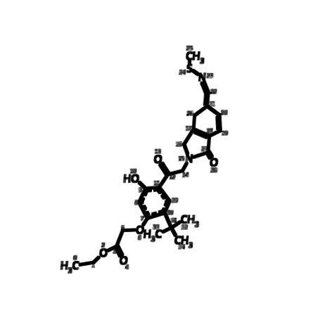 CCOC(=O)COc1cc(O)c(C(=O)CN2CC3=C(C=CC(=C=NSC)C3)C2=O)cc1C(C)(C)C